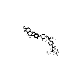 CC(C)(C)OC(=O)N1CCN(C(C)(C)CN2CCN(c3cc4c(cc3F)C(=O)N(C3CCC(=O)NC3=O)C4)CC2)CC1